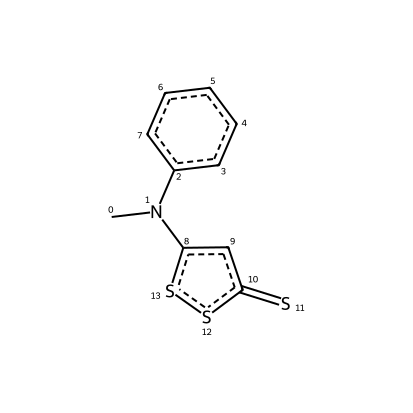 CN(c1ccccc1)c1cc(=S)ss1